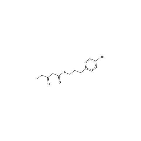 CCC(=O)CC(=O)OCCCc1ccc(O)cc1